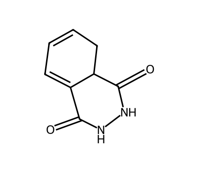 O=C1NNC(=O)C2CC=CC=C12